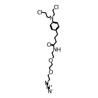 [N-]=[N+]=NCCOCCOCCNC(=O)CCCc1ccc(N(CCCl)CCCl)cc1